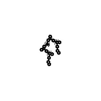 c1ccc2cc(-c3ccc(-c4nc(-c5ccc(-n6c7ccccc7c7ccc(-c8nnc(-c9ccc%10c%11ccccc%11n(-c%11ccc(-c%12nc(-c%13ccc(-c%14ccc%15ccccc%15c%14)cc%13)c%13ccccc%13n%12)cc%11)c%10c9)o8)cc76)cc5)nc5ccccc45)cc3)ccc2c1